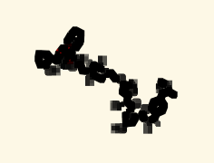 Cc1ncsc1-c1ccc([C@H](C)NC(=O)[C@@H]2C[C@@H](O)CN2C(=O)[C@@H](c2cc(OCCN3C[C@@H]4C[C@H]3CN4CCOc3cc(N4C5CCC4CN(c4cc(-c6ccccc6O)nnc4N)C5)ccn3)no2)C(C)C)cc1